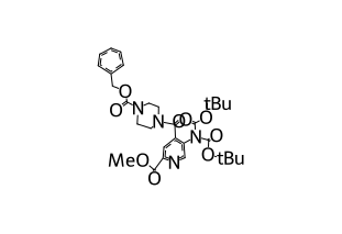 COC(=O)c1cc(C(=O)N2CCN(C(=O)OCc3ccccc3)CC2)c(N(C(=O)OC(C)(C)C)C(=O)OC(C)(C)C)cn1